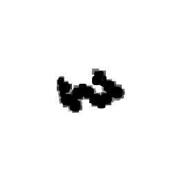 C=Cc1cccc(Cc2ccc3c4ccccc4n(-c4ccc5oc6ccc(-c7ccc8oc9ccc(-n%10c%11ccccc%11c%11ccc(COC(=O)C(=C)C)cc%11%10)cc9c8c7)cc6c5c4)c3c2)c1